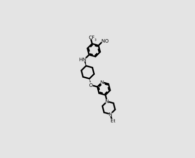 CCN1CCN(c2ccnc(O[C@H]3CC[C@H](Nc4ccc(N=O)c(C(F)(F)F)c4)CC3)c2)CC1